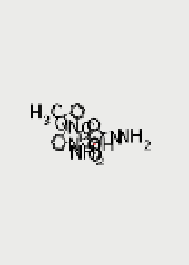 CCc1ccccc1N1C(=O)c2ccccc2N(N)C(CC(=O)O)(c2ccc(C=NN)cc2)C1=C=O